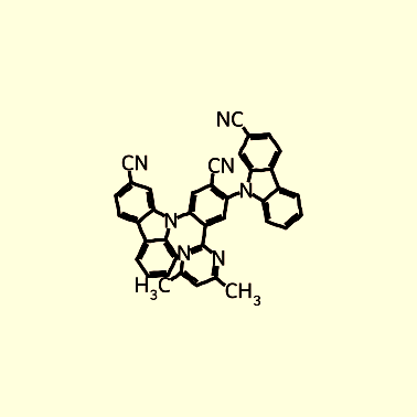 Cc1cc(C)nc(-c2cc(-n3c4ccccc4c4ccc(C#N)cc43)c(C#N)cc2-n2c3ccccc3c3ccc(C#N)cc32)n1